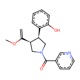 C=C(OC)[C@@H]1CN(C(=O)c2cccnc2)C[C@@H]1c1ccccc1O